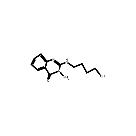 Nn1c(NCCCCO)nc2ccccc2c1=O